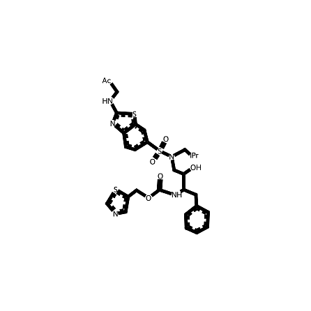 CC(=O)CNc1nc2ccc(S(=O)(=O)N(CC(C)C)CC(O)C(Cc3ccccc3)NC(=O)OCc3cncs3)cc2s1